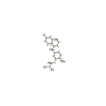 CCC(CC)NCc1cc(Nc2ccnc3cc(I)ccc23)ccc1O